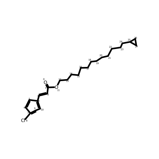 O=C(/C=C/c1ccc(Cl)cc1)OCCCCCCCCCCCCCC1CC1